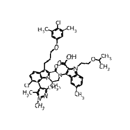 Cc1ccc2c(c1)c(N1C[C@@H](C)n3c(c(CCCOc4cc(C)c(Cl)c(C)c4)c4ccc(Cl)c(-c5c(C)nn(C)c5C)c43)C1=O)c(C(=O)O)n2CCOC(C)C